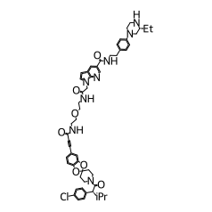 CC[C@H]1CN(c2ccc(CCNC(=O)c3cnc4c(ccn4CC(=O)NCCOCCNC(=O)C#Cc4ccc5c(c4)OC4(CCN(C(=O)[C@H](c6ccc(Cl)cc6)C(C)C)CC4)O5)c3)cc2)CCN1